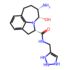 N[C@H]1CCc2cccc3c2N([C@H](C(=O)NCC2=CNNN2)C3)[C@H]1O